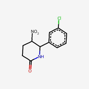 O=C1CCC([N+](=O)[O-])C(c2cccc(Cl)c2)N1